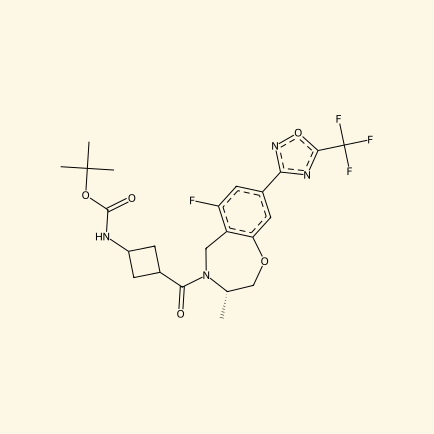 C[C@H]1COc2cc(-c3noc(C(F)(F)F)n3)cc(F)c2CN1C(=O)C1CC(NC(=O)OC(C)(C)C)C1